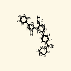 Nc1ncc(-c2ccc(C(=O)N3CCOCC3)cc2)nc1[C@@H]1NN=C(c2ccccc2)O1